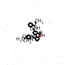 CCC[C@@H](NC(=O)c1ccc(-c2c(F)cccc2-c2nc3cc(C(C)(C)C)ccc3[nH]2)c(C(=O)O)c1)c1ccccc1